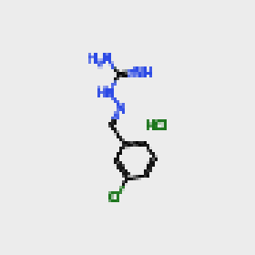 Cl.N=C(N)NN=Cc1cccc(Cl)c1